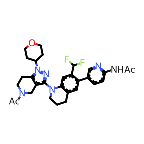 CC(=O)Nc1ccc(-c2cc3c(cc2C(F)F)N(c2nn(C4CCOCC4)c4c2CN(C(C)=O)CC4)CCC3)cn1